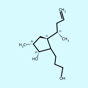 C=CC[C@H](C)[C@@H]1C[C@@H](C)[C@@H](O)C1CCCO